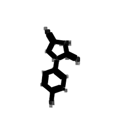 O=C1CN(c2ccc(Cl)nc2)C(=O)N1